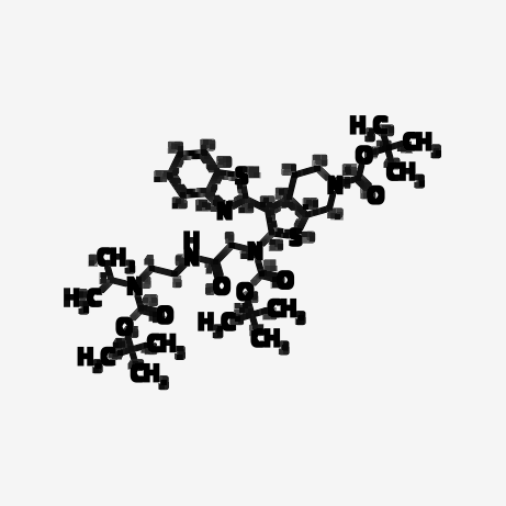 CC(C)N(CCNC(=O)CN(C(=O)OC(C)(C)C)c1sc2c(c1-c1nc3ccccc3s1)CCN(C(=O)OC(C)(C)C)C2)C(=O)OC(C)(C)C